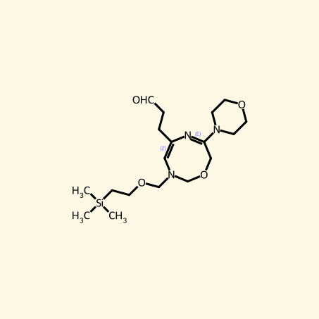 C[Si](C)(C)CCOCN1/C=C(CCC=O)\N=C(\N2CCOCC2)COC1